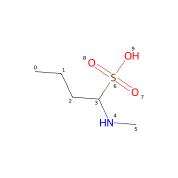 CCCC(NC)S(=O)(=O)O